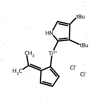 CC(C)=C1C=CC=[C]1[Ti+2][c]1[nH]cc(C(C)(C)C)c1C(C)(C)C.[Cl-].[Cl-]